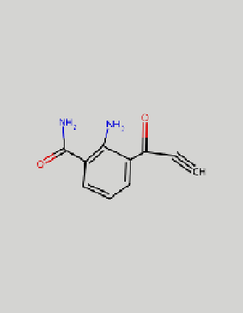 C#CC(=O)c1cccc(C(N)=O)c1N